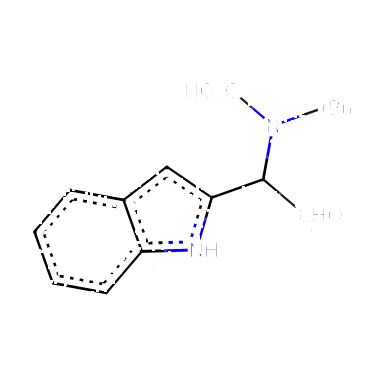 CC(C)(C)N(C(=O)O)C([C]=O)c1cc2ccccc2[nH]1